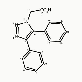 O=C(O)Cn1nnc(-c2ccccc2)c1-c1ccccc1